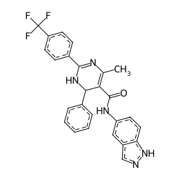 CC1=C(C(=O)Nc2ccc3[nH]ncc3c2)C(c2ccccc2)NC(c2ccc(C(F)(F)F)cc2)=N1